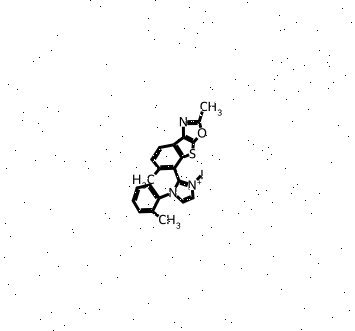 Cc1nc2c(o1)sc1c(-c3n(-c4ccccc4C)cc[n+]3I)c(C)ccc12